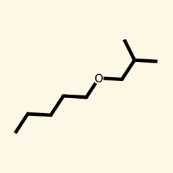 CCCCCOCC(C)C